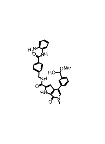 COC(O)c1cccc(-c2cn(C)c(=O)c3[nH]c(C(=O)NCc4ccc(C(=O)Nc5ccccc5N)cc4)cc23)c1